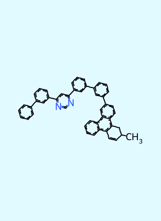 CC1C=Cc2c(c3ccc(-c4cccc(-c5cccc(-c6cc(-c7cccc(-c8ccccc8)c7)ncn6)c5)c4)cc3c3ccccc23)C1